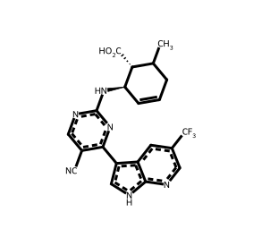 CC1CC=C[C@@H](Nc2ncc(C#N)c(-c3c[nH]c4ncc(C(F)(F)F)cc34)n2)[C@@H]1C(=O)O